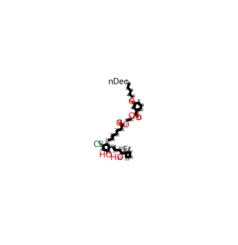 CCCCCCCCCCCCCCCOc1cccc(C(=O)OCCOC(=O)CCCC=CC[C@@H]2[C@@H](C=CC[C@H](O)C3(CC)CCC3)[C@H](O)C[C@H]2Cl)c1